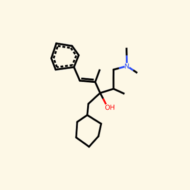 CC(=Cc1ccccc1)C(O)(CC1CCCCC1)C(C)CN(C)C